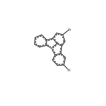 CCc1ccc2c(c1)c1cc(CC)cc3c4ccccc4n2c31